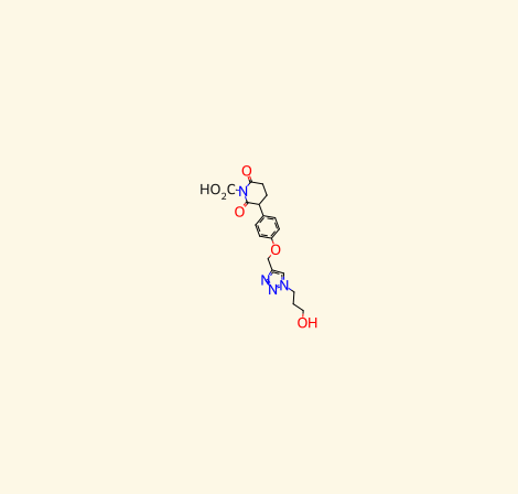 O=C(O)N1C(=O)CCC(c2ccc(OCc3cn(CCCO)nn3)cc2)C1=O